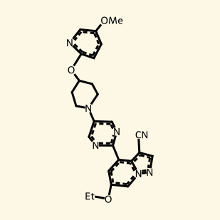 CCOc1cc(-c2ncc(N3CCC(Oc4ccc(OC)cn4)CC3)cn2)c2c(C#N)cnn2c1